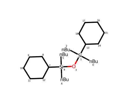 CCCC[Si](CCCC)(O[Si](CCCC)(CCCC)C1CCCCC1)C1CCCCC1